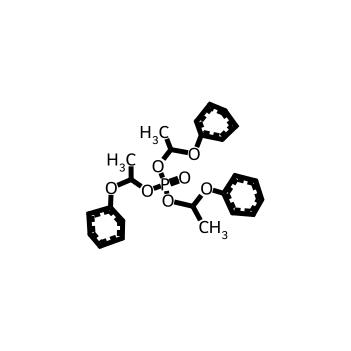 CC(Oc1ccccc1)OP(=O)(OC(C)Oc1ccccc1)OC(C)Oc1ccccc1